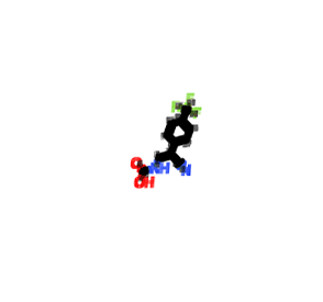 N#CC(=CNC(=O)O)c1ccc(C(F)(F)F)cc1